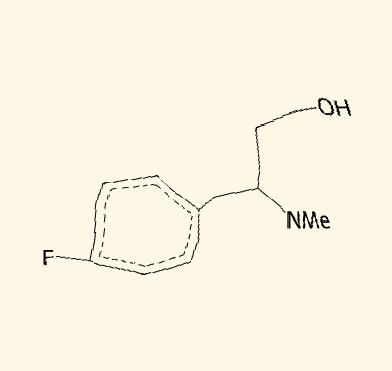 CNC(CO)c1ccc(F)cc1